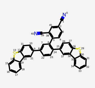 N#Cc1ccc(-c2cc(-c3ccc4sc5ccccc5c4c3)ccc2-c2ccc3sc4ccccc4c3c2)c(C#N)c1